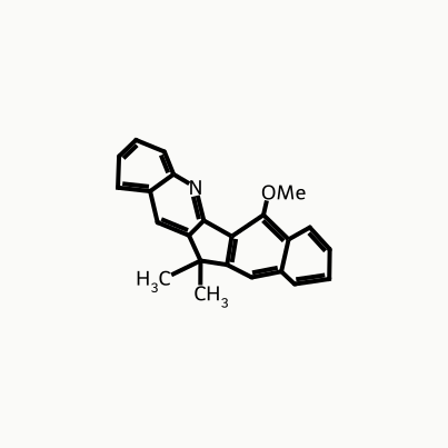 COc1c2c(cc3ccccc13)C(C)(C)c1cc3ccccc3nc1-2